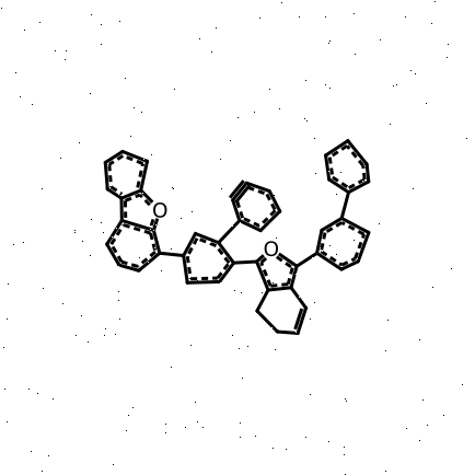 c1cccc(-c2cc(-c3cccc4c3oc3ccccc34)ccc2-c2oc(-c3cccc(-c4ccccc4)c3)c3c2CCC=C3)c#1